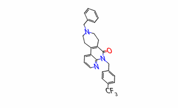 O=c1c2c(c3cccnc3n1Cc1ccc(C(F)(F)F)cc1)CCN(Cc1ccccc1)CC2